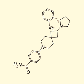 CC(C)c1ccccc1[C@@H]1CCCN1C1CC2(CCN(c3ccc(C(N)=O)cc3)CC2)C1